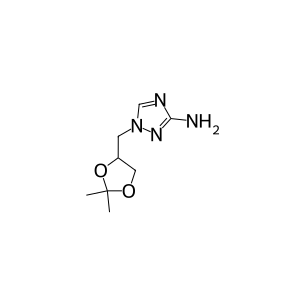 CC1(C)OCC(Cn2cnc(N)n2)O1